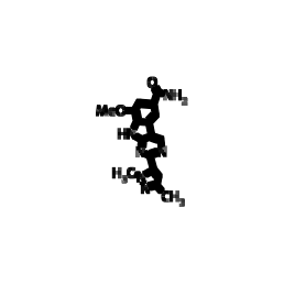 COc1cc(C(N)=O)cc2c1[nH]c1nc(-c3cc(C)nn3C)ncc12